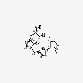 CN1CCC=C1c1ccc(Cn2cnn(C/C(=C/F)CN)c2=O)s1